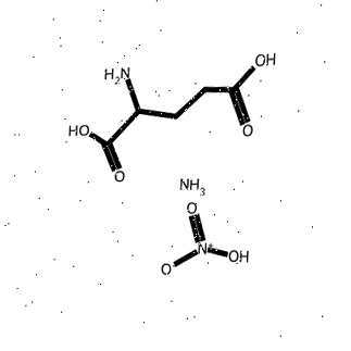 N.NC(CCC(=O)O)C(=O)O.O=[N+]([O-])O